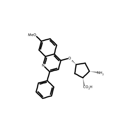 COc1ccc2c(O[C@@H]3C[C@H](N)[C@H](C(=O)O)C3)cc(-c3ccccc3)nc2c1